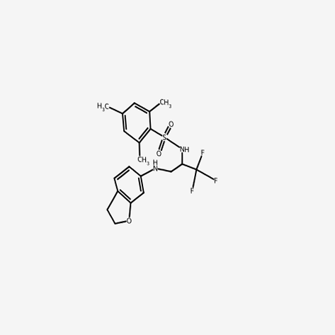 Cc1cc(C)c(S(=O)(=O)NC(CNc2ccc3c(c2)OCC3)C(F)(F)F)c(C)c1